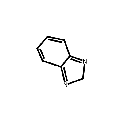 c1ccc2c(c1)=NCN=2